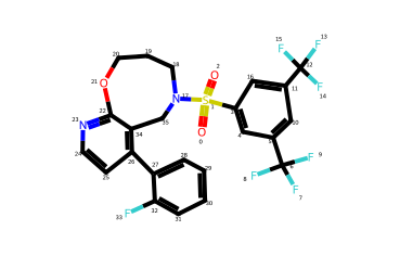 O=S(=O)(c1cc(C(F)(F)F)cc(C(F)(F)F)c1)N1CCCOc2nccc(-c3ccccc3F)c2C1